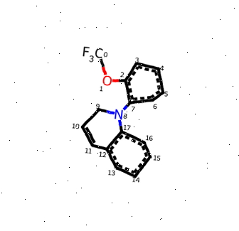 FC(F)(F)Oc1ccccc1N1CC=Cc2ccccc21